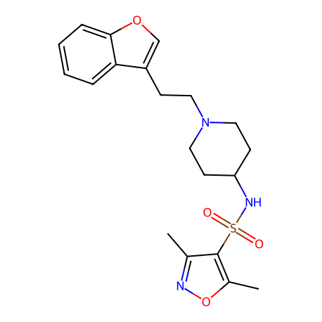 Cc1noc(C)c1S(=O)(=O)NC1CCN(CCc2coc3ccccc23)CC1